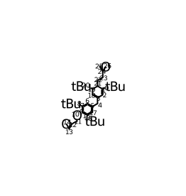 CC(C)(C)C1=CC(Cc2cc(C(C)(C)C)c(OCC3CO3)c(C(C)(C)C)c2)=CC(C(C)(C)C)C1CCC1CO1